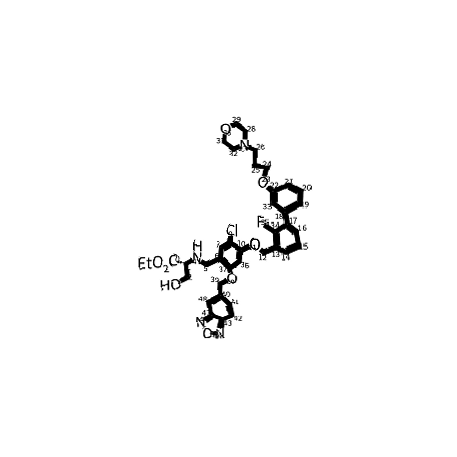 CCOC(=O)[C@@H](CO)NCc1cc(Cl)c(OCc2cccc(-c3cccc(OCCCN4CCOCC4)c3)c2F)cc1OCc1ccc2nonc2c1